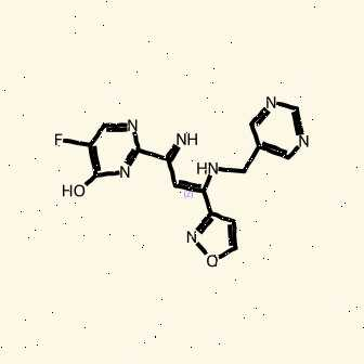 N=C(/C=C(\NCc1cncnc1)c1ccon1)c1ncc(F)c(O)n1